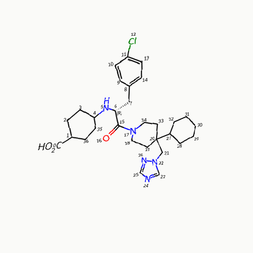 O=C(O)C1CCC(N[C@H](Cc2ccc(Cl)cc2)C(=O)N2CCC(Cn3cncn3)(C3CCCCC3)CC2)CC1